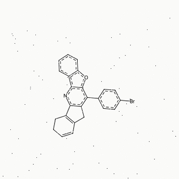 Brc1ccc(-c2c3c(nc4c2oc2ccccc24)C2=C(C=CCC2)C3)cc1